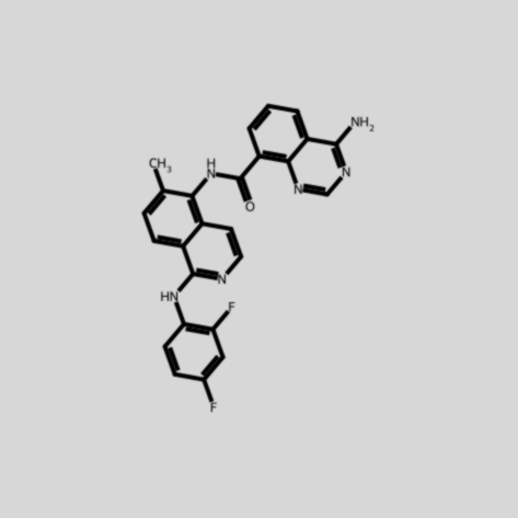 Cc1ccc2c(Nc3ccc(F)cc3F)nccc2c1NC(=O)c1cccc2c(N)ncnc12